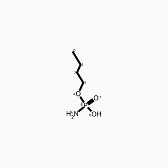 CCCCOP(N)(=O)O